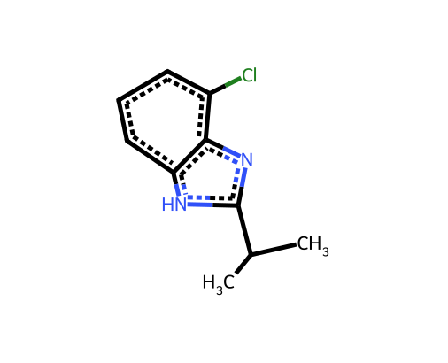 CC(C)c1nc2c(Cl)cccc2[nH]1